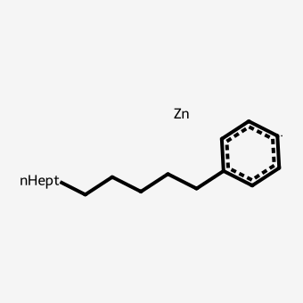 CCCCCCCCCCCCc1cc[c]cc1.[Zn]